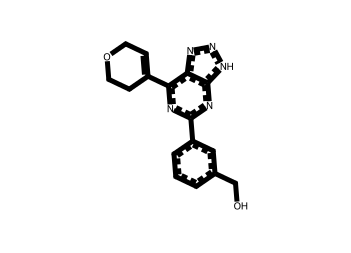 OCc1cccc(-c2nc(C3=CCOCC3)c3nn[nH]c3n2)c1